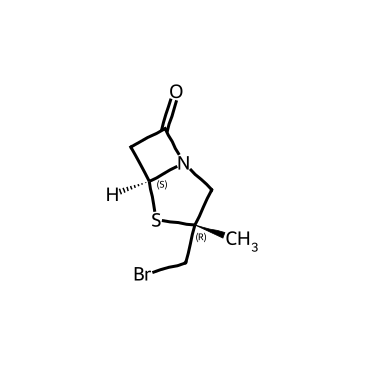 C[C@]1(CBr)CN2C(=O)C[C@@H]2S1